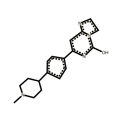 CN1CCC(c2ccc(-c3cc4nccn4c(O)n3)cc2)CC1